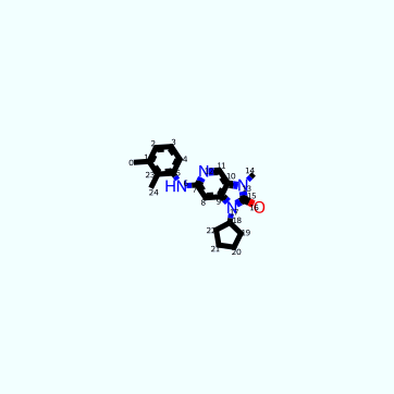 Cc1cccc(Nc2cc3c(cn2)n(C)c(=O)n3C2CCCC2)c1C